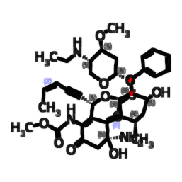 C/C=C\C#C[C@H](O[C@@H]1O[C@H](C)C[C@H](O)[C@H]1O[C@H]1C[C@H](OC)[C@@H](NCC)CO1)C1=C(NC(=O)OC)C(=O)C[C@](N)(O)/C1=C/CSSc1ccccc1